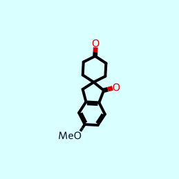 COc1ccc2c(c1)CC1(CCC(=O)CC1)C2=O